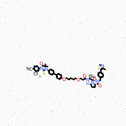 Cc1ncsc1-c1ccc(CNC(=O)[C@@H]2CCCN2C(=O)C(NC(=O)CCOCCCCCOc2ccc(-c3ccc(N4C(=S)N(c5ccc(C#N)c(C(F)(F)F)c5)C(=O)C4(C)C)cc3)cc2)C(C)(C)C)cc1